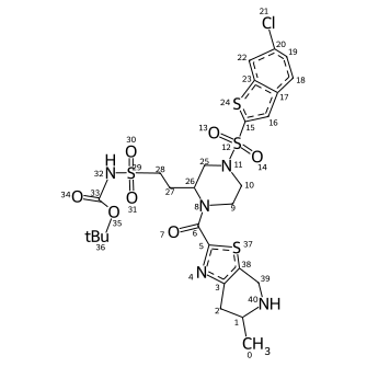 CC1Cc2nc(C(=O)N3CCN(S(=O)(=O)c4cc5ccc(Cl)cc5s4)CC3CCS(=O)(=O)NC(=O)OC(C)(C)C)sc2CN1